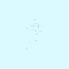 CCOC(=O)Oc1cc2ccccc2n1-c1ccccc1[N+](=O)[O-]